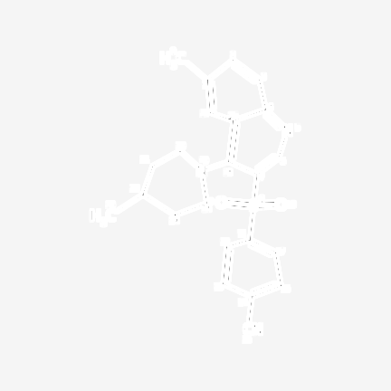 Cc1ccc2ncc(S(=O)(=O)c3ccc(C#N)cc3)c(N3CCC(C)CC3)c2c1